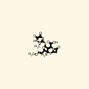 CON=CC(=O)C1(N)SC2CC(=O)N2C(C(=O)O)=C1CSc1nc(=O)c(=O)[nH]n1C